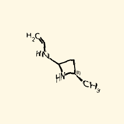 C=CNC1C[C@@H](C)N1